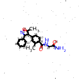 Cc1cc(-c2c(-c3ccccc3)noc2C)ccc1C(=O)NCC(N)=O